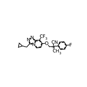 C[C@](C#N)(COc1ccn2c(CC3CC3)nnc2c1C(F)(F)F)c1ccc(F)cc1